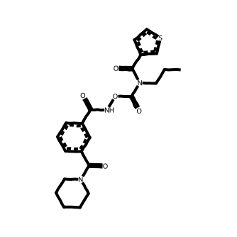 CCCN(C(=O)ONC(=O)c1cccc(C(=O)N2CCCCC2)c1)C(=O)c1ccsc1